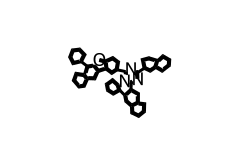 c1ccc(-c2cc3ccccc3cc2-c2nc(-c3ccc4ccccc4c3)nc(-c3ccc4oc5c(-c6ccccc6)c6ccccc6cc5c4c3)n2)cc1